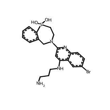 NCCCNc1cc(N2CCS(O)(O)c3ccccc3C2)nc2ccc(Br)cc12